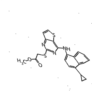 COC(=O)CSc1nc(Nc2ccc(C3CC3)c3ccccc23)c2sccc2n1